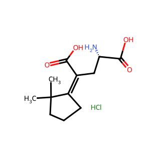 CC1(C)CCCC1=C(C[C@H](N)C(=O)O)C(=O)O.Cl